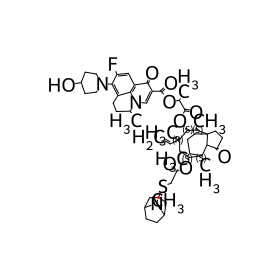 C=C[C@@]1(C)C[C@H](OC(=O)CSC2CC3CCC(C2)N3C)[C@@]2(C)C(C)CCC3(CCC(=O)C32)[C@H](C)[C@@H]1OC(=O)C(C)OC(=O)c1cn2c3c(c(N4CCC(O)CC4)c(F)cc3c1=O)CCC2C